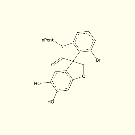 CCCCCN1C(=O)C2(COc3cc(O)c(O)cc32)c2c(Br)cccc21